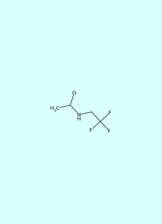 CC([O])NCC(F)(F)F